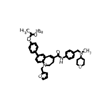 CCCCOC(C)Oc1ccc(-c2ccc3c(c2)C=C(C(=O)Nc2ccc(CN(C)C4CCOCC4)cc2)CCN3Cc2ccco2)cc1